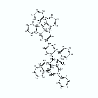 O=P1(c2nc(-c3ccccc3)nc(-c3ccccc3)n2)c2ccccc2-c2cc(-c3ccc4c(c3)-c3ccccc3C4(c3ccccc3)c3ccccc3)ccc2N1c1ccccc1